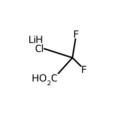 O=C(O)C(F)(F)Cl.[LiH]